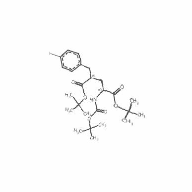 CC(C)(C)OC(=O)N[C@@H](C[C@H](Cc1ccc(I)cc1)C(=O)OC(C)(C)C)C(=O)OC(C)(C)C